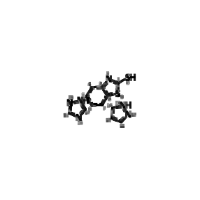 Sc1nc2ccccc2s1.c1cn[nH]c1.c1nc[nH]n1